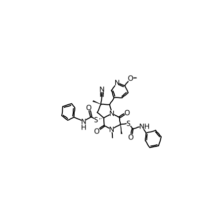 COc1ccc(C2N3C(=O)[C@](C)(SC(=O)Nc4ccccc4)N(C)C(=O)[C@@]3(SC(=O)Nc3ccccc3)C[C@]2(C)C#N)cn1